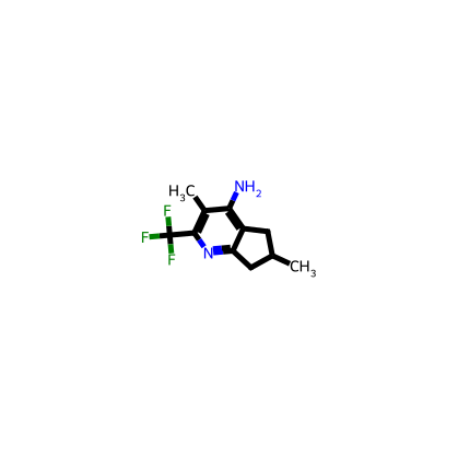 Cc1c(C(F)(F)F)nc2c(c1N)CC(C)C2